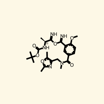 COc1ccc(C(=O)N(C)Cc2nc(C)oc2C)cc1C(=N)OC(=N)[C@H](C)NC(=O)OC(C)(C)C